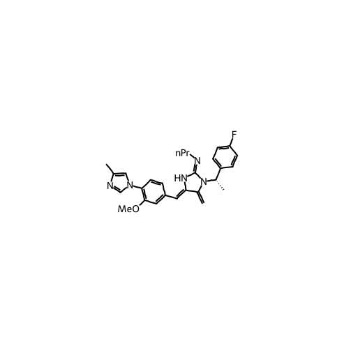 C=c1/c(=C/c2ccc(-n3cnc(C)c3)c(OC)c2)[nH]/c(=N\CCC)n1[C@@H](C)c1ccc(F)cc1